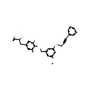 COc1cc(COc2c(Cl)cc(CC(N)C(=O)O)cc2Cl)cc(NCC#Cc2ccccc2)c1